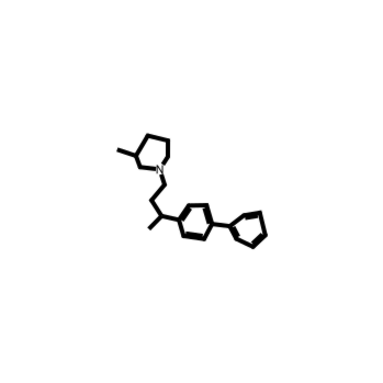 CC1CCCN(CCC(C)c2ccc(-c3ccccc3)cc2)C1